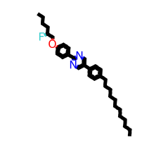 CCCCCCCCCCCCc1ccc(-c2cnc(-c3ccc(OCC(F)CCCC)cc3)nc2)cc1